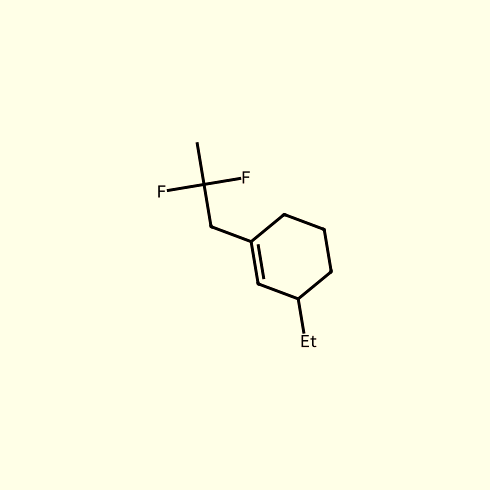 CCC1C=C(CC(C)(F)F)CCC1